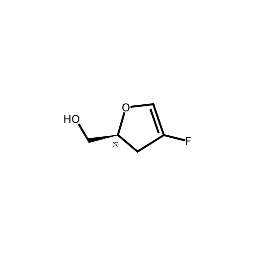 OC[C@@H]1CC(F)=CO1